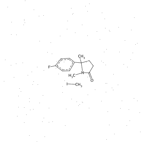 CI.CN1C(=O)CCC1(C)c1ccc(F)cc1